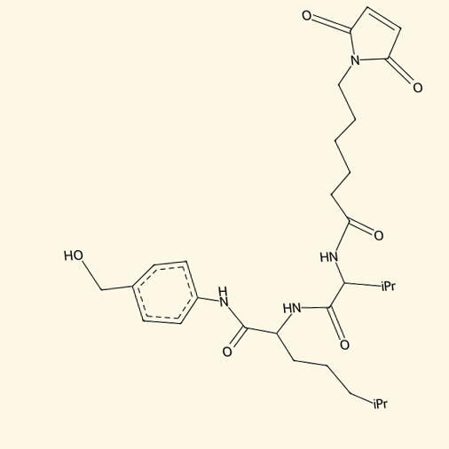 CC(C)CCCC(NC(=O)C(NC(=O)CCCCCN1C(=O)C=CC1=O)C(C)C)C(=O)Nc1ccc(CO)cc1